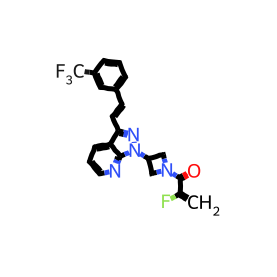 C=C(F)C(=O)N1CC(n2nc(C=Cc3cccc(C(F)(F)F)c3)c3cccnc32)C1